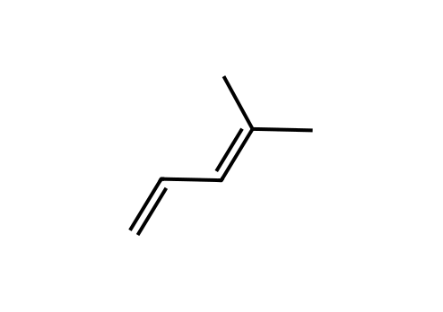 C=CC=C(C)C